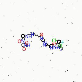 CC(Oc1cc(-c2cnn(C3CCN(C(=O)CCCCN4CC(CNc5cccc6c5CN(C5CCC(=O)NC5=O)C6=O)C4)CC3)c2)cnc1N)c1c(Cl)ccc(F)c1Cl